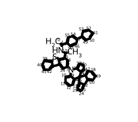 C=C(NC(C)c1cc(N2c3ccccc3C3(c4ccccc4-c4ccccc43)c3ccccc32)cc2c1sc1ccccc12)c1ccc(-c2ccccc2)cc1